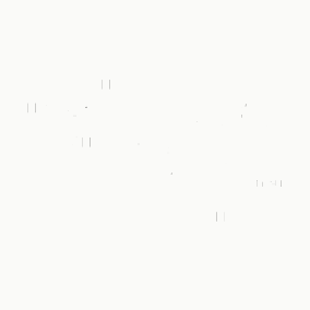 CCCCc1c(C)cc(C#C[Si](C)(C)C)cc1C